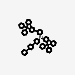 c1ccc(-c2ccc(-c3ccc(N(c4cccc(-c5ccc6c(c5)-c5ccccc5C6(c5ccccc5)c5ccccc5)c4)c4ccc5c(c4)C(c4ccccc4)(c4ccccc4)c4ccccc4-5)cc3)cc2)cc1